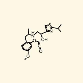 COc1ccc(CC(C)NCC(O)c2csc(C(C)C)n2)c(OC=C=O)c1